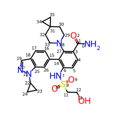 NC(=O)c1ccc(NS(=O)(=O)CCO)c(-c2ccc3cnn(C4CC4)c3c2)c1N1CCC2(CC1)CC2